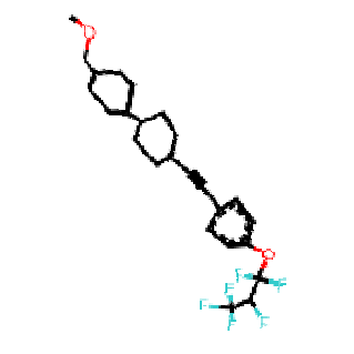 COCC1CCC(C2CCC(C#Cc3ccc(OC(F)(F)C(F)C(F)(F)F)cc3)CC2)CC1